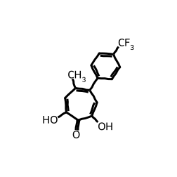 Cc1cc(O)c(=O)c(O)cc1-c1ccc(C(F)(F)F)cc1